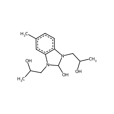 Cc1ccc2c(c1)N(CC(C)O)C(O)N2CC(C)O